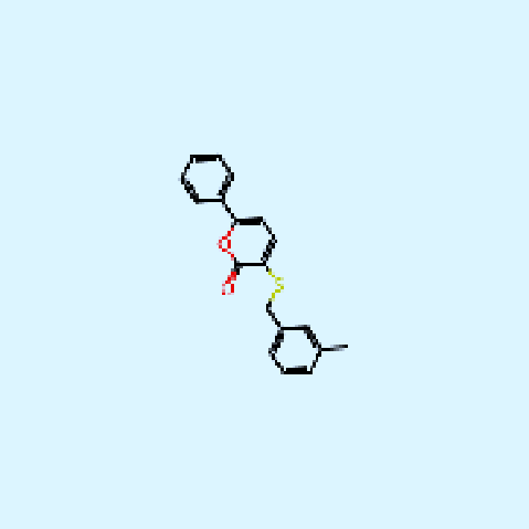 Cc1cccc(CSc2ccc(-c3ccccc3)oc2=O)c1